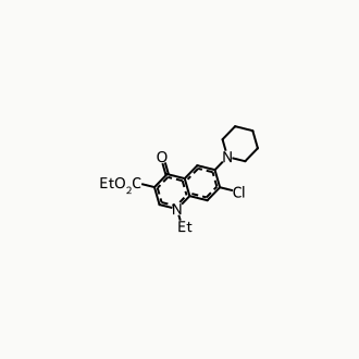 CCOC(=O)c1cn(CC)c2cc(Cl)c(N3CCCCC3)cc2c1=O